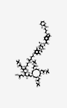 COC(=O)[C@H](CNC(=O)c1ccc2c(cnn2CCCNC2=NCCCN2)c1)NS(=O)(=O)c1c(C)cc(OCCCC(=O)NCCNC(=O)C(CCC(=O)OC(C)(C)C)NC(=O)[C@H](CCC(=O)O)NC(=O)CN2CCN(CC(=O)OC(C)(C)C)CCN(CC(=O)OC(C)(C)C)CCN(CC(=O)OC(C)(C)C)CC2)cc1C